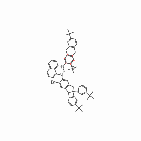 CC(C)(C)c1ccc2c(c1)C1c3ccc(C(C)(C)C)cc3C2c2cc(N3CN(c4cc5c(cc4Br)C4c6ccc(C(C)(C)C)cc6C46c4cc(C(C)(C)C)ccc4C56)c4cccc5cccc3c45)c(Br)cc21